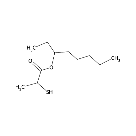 CCCCCC(CC)OC(=O)C(C)S